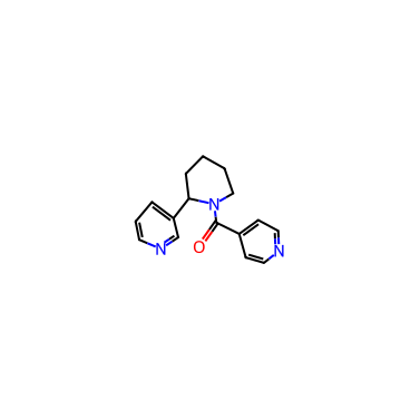 O=C(c1ccncc1)N1CCCCC1c1cccnc1